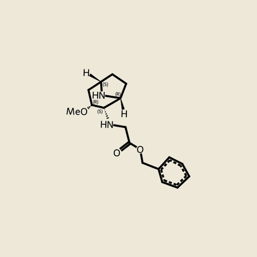 CO[C@@H]1C[C@@H]2CC[C@@H](N2)[C@@H]1NCC(=O)OCc1ccccc1